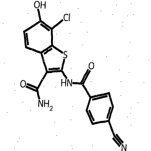 N#Cc1ccc(C(=O)Nc2sc3c(Cl)c(O)ccc3c2C(N)=O)cc1